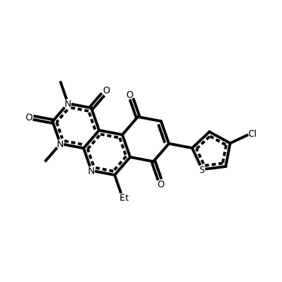 CCc1nc2c(c3c1C(=O)C(c1cc(Cl)cs1)=CC3=O)c(=O)n(C)c(=O)n2C